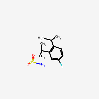 CC(C)c1ccc(F)cc1C(C)C.N[SH](=O)=O